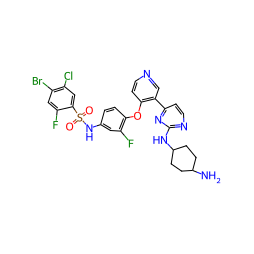 NC1CCC(Nc2nccc(-c3cnccc3Oc3ccc(NS(=O)(=O)c4cc(Cl)c(Br)cc4F)cc3F)n2)CC1